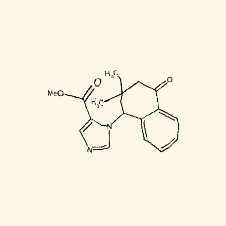 COC(=O)c1cncn1C1c2ccccc2C(=O)CC1(C)C